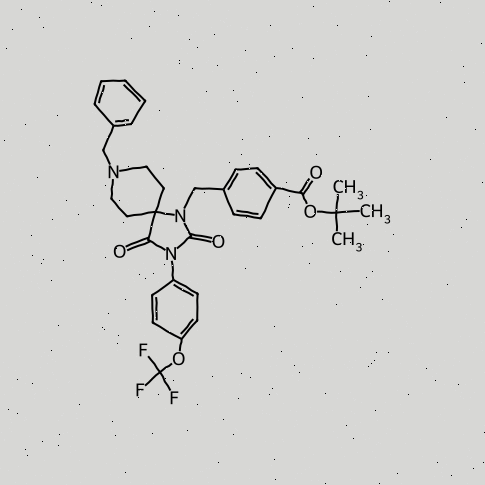 CC(C)(C)OC(=O)c1ccc(CN2C(=O)N(c3ccc(OC(F)(F)F)cc3)C(=O)C23CCN(Cc2ccccc2)CC3)cc1